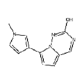 Cn1ccc(-c2ccc3cnc(O)nn23)c1